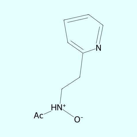 CC(=O)[NH+]([O-])CCc1ccccn1